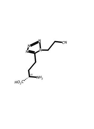 N#CCCn1nnnc1CC[C@H](N)C(=O)O